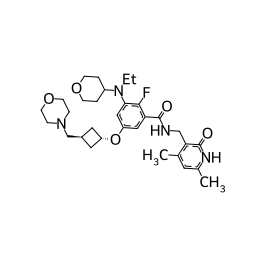 CCN(c1cc(O[C@H]2C[C@H](CN3CCOCC3)C2)cc(C(=O)NCc2c(C)cc(C)[nH]c2=O)c1F)C1CCOCC1